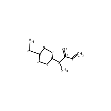 C=CC(=O)C(C)C1CC[C](CO)CC1